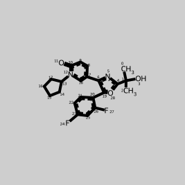 CC(C)(O)c1nc(-c2ccc(=O)n(C3CCCC3)c2)c(-c2ccc(F)cc2F)o1